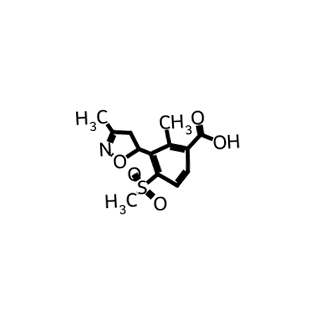 CC1=NOC(c2c(S(C)(=O)=O)ccc(C(=O)O)c2C)C1